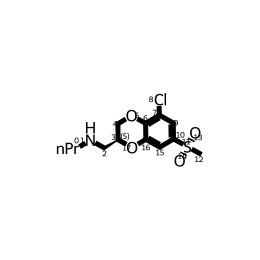 CCCNC[C@H]1COc2c(Cl)cc(S(C)(=O)=O)cc2O1